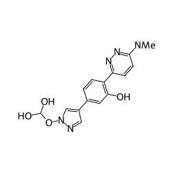 CNc1ccc(-c2ccc(-c3cnn(OC(O)O)c3)cc2O)nn1